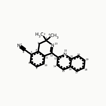 CC1(C)Cc2c(C#N)cccc2C(c2ccc3ccccc3n2)=N1